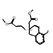 COC(=O)CCC[C@]1(CC(=O)OC)CCc2c(F)cccc2C1